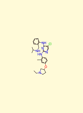 CCN1CCC(Oc2ccc(Nc3ncc(Cl)c(Nc4ccccc4CNC(C)C)n3)c(C)c2)C1